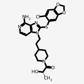 C[C@H](O)C(=O)N1CCC(CCn2c(Sc3cc4c(cc3Cl)OCO4)nc3c(N)nccc32)CC1